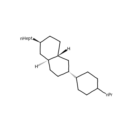 CCCCCCC[C@H]1CC[C@@H]2C[C@H](C3CCC(CCC)CC3)CC[C@H]2C1